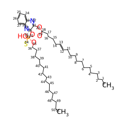 CCCCCCCCCCCCC=CCCCCC(=O)Oc1nc2ccccc2nc1OP(O)(=S)OCCCCCCCCCCCCCCCC